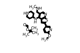 CC(C)(C)OC=O.CNCc1cnc2sc(-c3ccc(OC)nc3)cc2c1NC1CCNCC1